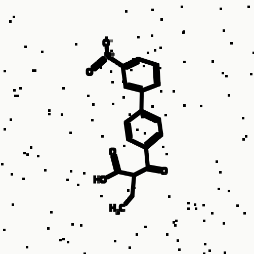 CCC(C(=O)O)C(=O)c1ccc(-c2cccc([N+](=O)[O-])c2)cc1